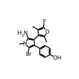 Cc1oc(F)c(C)c1-c1c(-c2ccc(O)cc2)c(Br)n(C)c1N